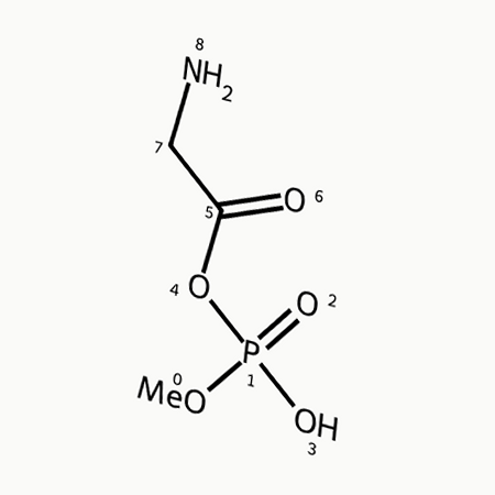 COP(=O)(O)OC(=O)CN